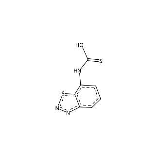 OC(=S)Nc1cccc2nnsc12